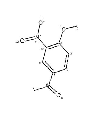 COc1ccc(C(C)=O)cc1[N+](=O)[O-]